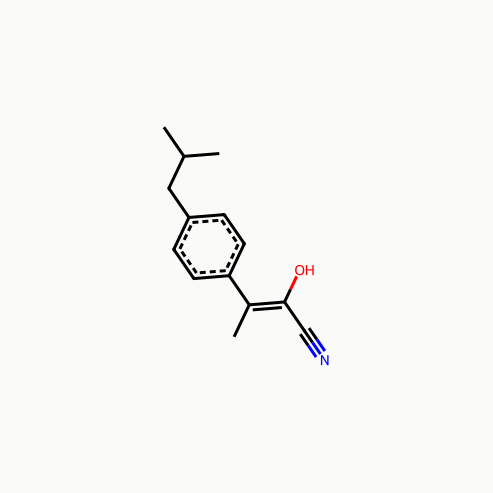 CC(=C(O)C#N)c1ccc(CC(C)C)cc1